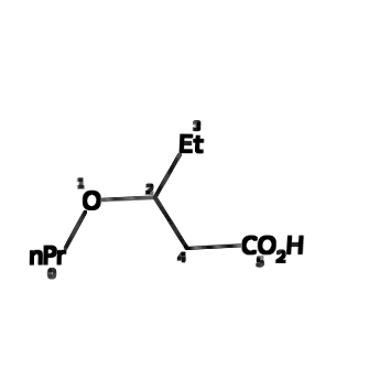 CCCOC(CC)CC(=O)O